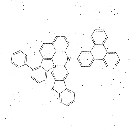 c1ccc(-c2cccc3oc4c(ccc5cccc(N(c6ccc7sc8ccccc8c7c6)c6ccc7c8ccccc8c8ccccc8c7c6)c54)c23)cc1